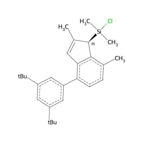 CC1=Cc2c(-c3cc(C(C)(C)C)cc(C(C)(C)C)c3)ccc(C)c2[C@@H]1[Si](C)(C)Cl